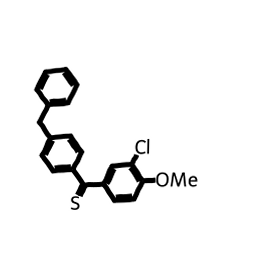 COc1ccc(C(=S)c2ccc(Cc3ccccc3)cc2)cc1Cl